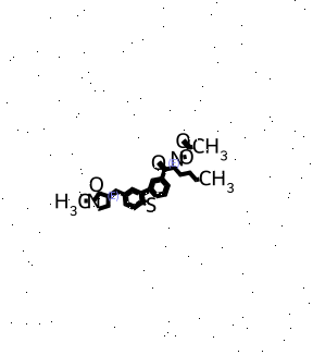 CCCC/C(=N\OC(C)=O)C(=O)c1ccc2sc3ccc(/C=C4\CCN(C)C4=O)cc3c2c1